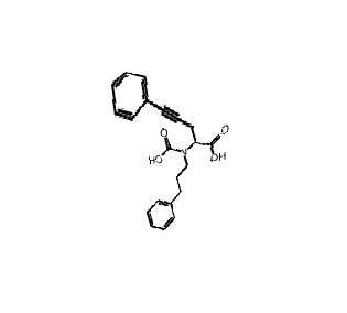 O=C(O)C(CC#Cc1ccccc1)N(CCCc1ccccc1)C(=O)O